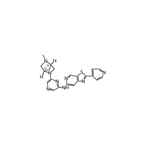 CN1C[C@@H]2C[C@H]1CN2c1cncc(Nc2cc3nc(-c4ccncc4)sc3cn2)n1